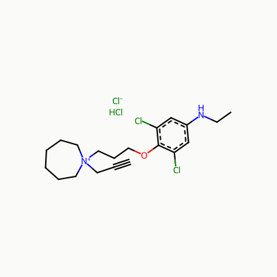 C#CC[N+]1(CCCOc2c(Cl)cc(NCC)cc2Cl)CCCCCC1.Cl.[Cl-]